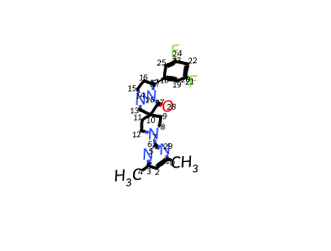 Cc1cc(C)nc(N2CCC3(CC2)CN2CC[C@@H](c4cc(F)cc(F)c4)N2C3=O)n1